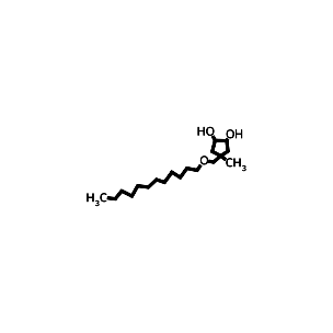 CCCCCCCCCCCCOCC1(C)CC(O)C(O)C1